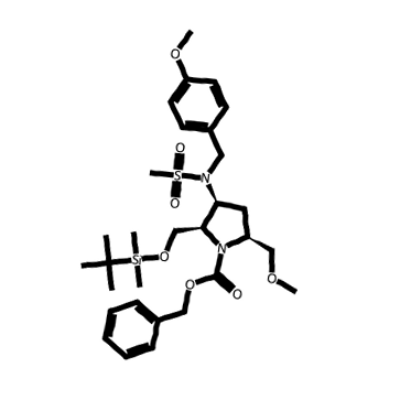 COC[C@@H]1C[C@H](N(Cc2ccc(OC)cc2)S(C)(=O)=O)[C@H](CO[Si](C)(C)C(C)(C)C)N1C(=O)OCc1ccccc1